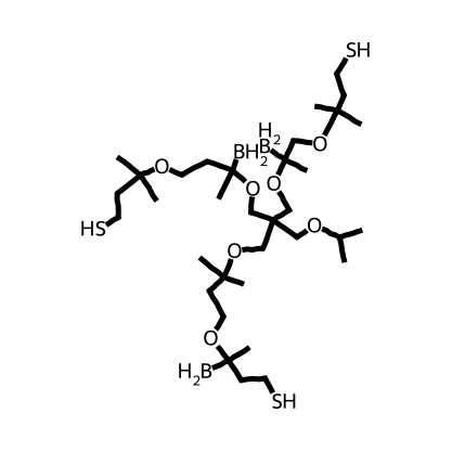 BC(C)(CCS)OCCC(C)(C)OCC(COC(C)C)(COC(B)(C)CCOC(C)(C)CCS)COC(B)(C)COC(C)(C)CCS